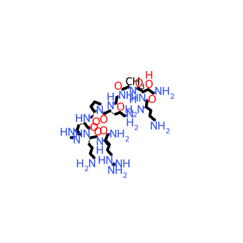 C[C@H](NC(=O)[C@@H](NC(=O)[C@@H](N)CCCN)[C@@H](O)CN)C(=O)NCC(=O)N[C@H](CCCN)C(=O)N1CCC[C@H]1C(=O)N[C@@H](Cc1cnc[nH]1)C(=O)N[C@@H](CCCCN)C(=O)N/C(=C\CCNC(=N)N)C(N)=O